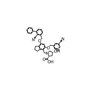 N#Cc1cncc(COc2cc(OCc3cccc(-c4ccccc4)c3C#N)c3c(c2CN2C[C@H](O)C[C@H]2C(=O)O)CCC3)c1